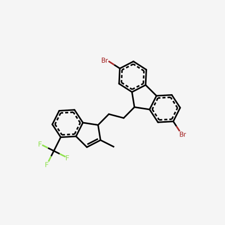 CC1=Cc2c(cccc2C(F)(F)F)C1CCC1c2cc(Br)ccc2-c2ccc(Br)cc21